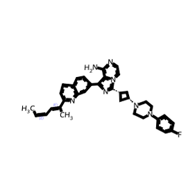 C/C=C\C=C(/C)c1ccc2ccc(-c3nc([C@H]4C[C@@H](N5CCN(c6ccc(F)cc6)CC5)C4)n4ccnc(N)c34)cc2n1